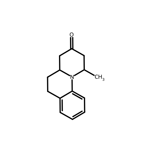 CC1CC(=O)CC2CCc3ccccc3N12